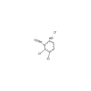 C#[N+]c1cccc(Cl)c1Cl.Cl.[Cl-]